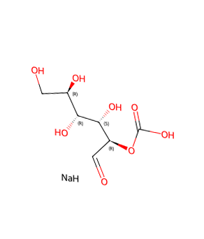 O=C[C@H](OC(=O)O)[C@@H](O)[C@H](O)[C@H](O)CO.[NaH]